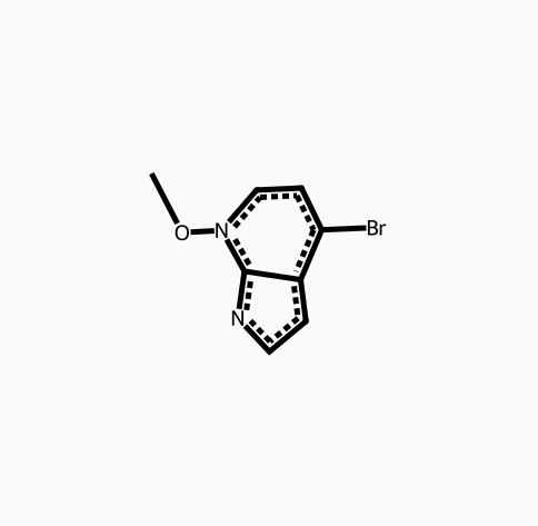 COn1ccc(Br)c2ccnc1-2